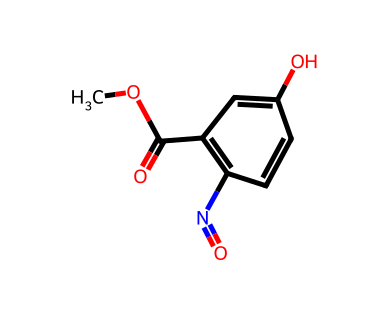 COC(=O)c1cc(O)ccc1N=O